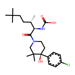 C[C@@H](CCC(C)(C)C)[C@@H](NC(=O)O)C(=O)N1CC[C@](O)(c2ccc(Cl)cc2)C(C)(C)C1